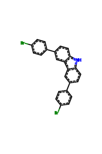 Brc1ccc(-c2ccc3[nH]c4ccc(-c5ccc(Br)cc5)cc4c3c2)cc1